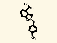 Cc1ccc(Cn2cc3c(C(=O)O)cccc3n2)cc1